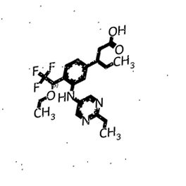 CCO[C@@H](c1ccc(C(CC)CC(=O)O)cc1Nc1cnc(CC)nc1)C(F)(F)F